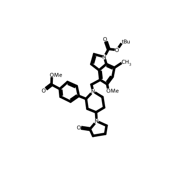 COC(=O)c1ccc(C2CC(N3CCCC3=O)CCN2Cc2c(OC)cc(C)c3c2ccn3C(=O)OC(C)(C)C)cc1